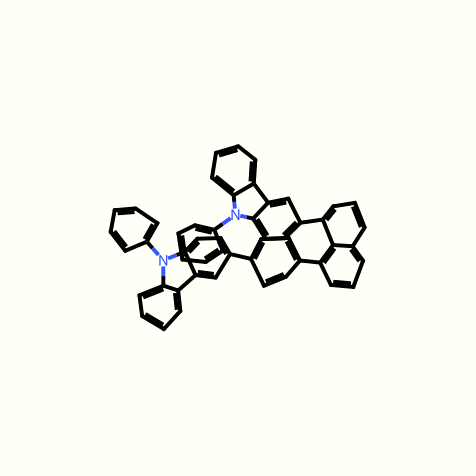 c1ccc(-n2c3ccccc3c3cc(-c4ccc(-c5cccc6cccc(-c7ccc8c(c7)c7ccccc7n8-c7ccccc7)c56)cc4)ccc32)cc1